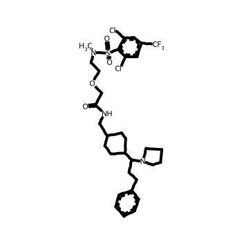 CN(CCOCC(=O)NCC1CCC(C(CCc2ccccc2)N2CCCC2)CC1)S(=O)(=O)c1c(Cl)cc(C(F)(F)F)cc1Cl